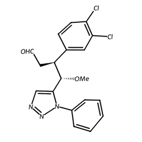 CO[C@H](c1cnnn1-c1ccccc1)[C@@H](CC=O)c1ccc(Cl)c(Cl)c1